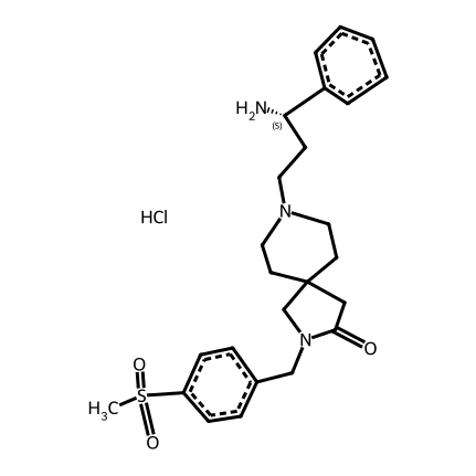 CS(=O)(=O)c1ccc(CN2CC3(CCN(CC[C@H](N)c4ccccc4)CC3)CC2=O)cc1.Cl